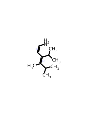 C/C(=C(\C=C/N)C(C)C)C(C)C